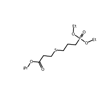 [CH2]C([CH2])OC(=O)CCSCCCP(=O)(OCC)OCC